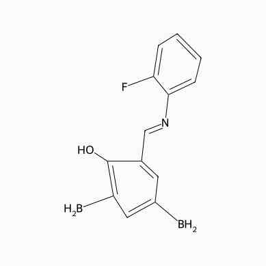 Bc1cc(B)c(O)c(/C=N/c2ccccc2F)c1